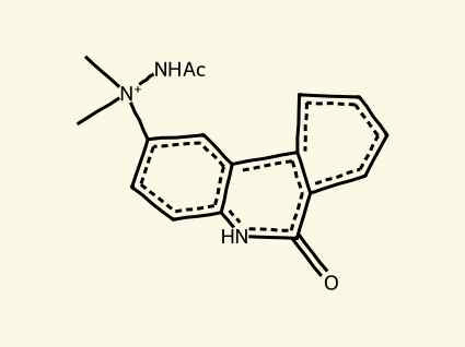 CC(=O)N[N+](C)(C)c1ccc2[nH]c(=O)c3ccccc3c2c1